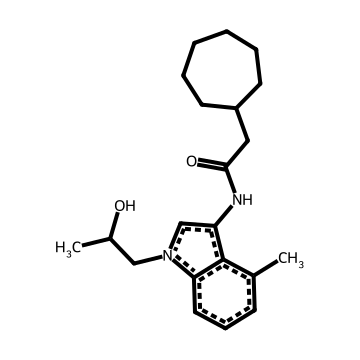 Cc1cccc2c1c(NC(=O)CC1CCCCCC1)cn2CC(C)O